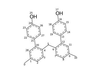 Cc1ccc(Cc2ccc(C)cc2-c2ccc(O)cc2)c(-c2ccc(O)cc2)c1